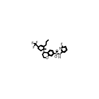 CCCC1=CC(C(F)(F)F)=CCC1(C)[C@@H]1CCOc2cc(S(=O)(=O)Nc3cccc(F)n3)ccc21